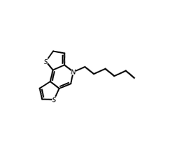 CCCCCCN1C=c2sccc2=C2SCC=C21